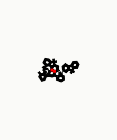 Cc1cccc2c1oc1ccc(-c3ccccc3N(c3ccc4c(c3)C(C)(C)c3ccccc3-4)c3ccc4c(c3)C(C)(C)c3cccc(C(C)(C)C)c3-4)cc12